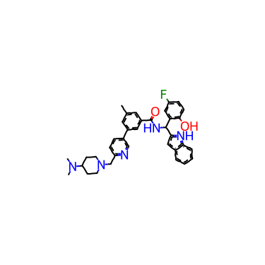 Cc1cc(C(=O)NC(c2cc3ccccc3[nH]2)c2cc(F)ccc2O)cc(-c2ccc(CN3CCC(N(C)C)CC3)nc2)c1